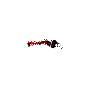 C=C(C)C(=O)OCCOCCOCCOCCOC(=O)C1CCN(C(=O)OC(c2ccccc2[N+](=O)[O-])c2ccccc2[N+](=O)[O-])CC1